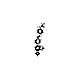 C1CCC1.O=C(O)N[C@H]1CC[C@H](CCN2CCN(c3cccc4c3OCO4)CC2)CC1